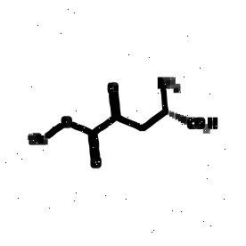 CC(C)(C)OC(=O)C(=O)C[C@H](N)C(=O)O